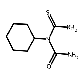 NC(=O)N(C(N)=S)C1CCCCC1